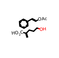 C=C(CCCO)C(=O)O.CC(=O)OC=Cc1ccccc1